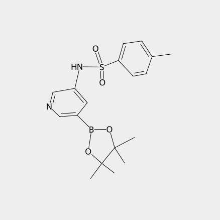 Cc1ccc(S(=O)(=O)Nc2cncc(B3OC(C)(C)C(C)(C)O3)c2)cc1